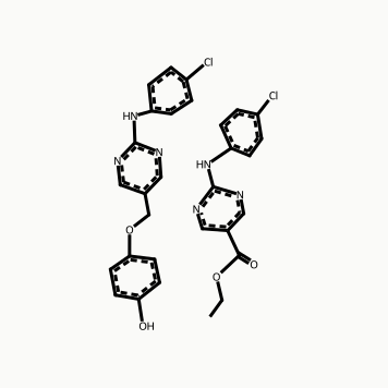 CCOC(=O)c1cnc(Nc2ccc(Cl)cc2)nc1.Oc1ccc(OCc2cnc(Nc3ccc(Cl)cc3)nc2)cc1